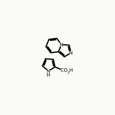 O=C(O)c1ccc[nH]1.c1ccn2cncc2c1